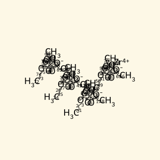 CCCCOC(CC)C(=O)C(C(=O)[O-])(C(=O)CCC)C(=O)CCC.CCCCOC(CC)C(=O)C(C(=O)[O-])(C(=O)CCC)C(=O)CCC.CCCCOC(CC)C(=O)C(C(=O)[O-])(C(=O)CCC)C(=O)CCC.CCCCOC(CC)C(=O)C(C(=O)[O-])(C(=O)CCC)C(=O)CCC.[Zr+4]